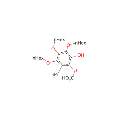 CCCCCCOc1c(O)c(OC(=O)O)c(CCC)c(OCCCCCC)c1OCCCCCC